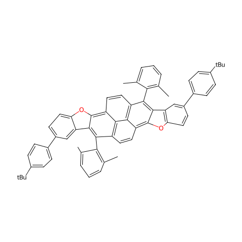 Cc1cccc(C)c1-c1c2ccc3c4oc5ccc(-c6ccc(C(C)(C)C)cc6)cc5c4c(-c4c(C)cccc4C)c4ccc(c5oc6ccc(-c7ccc(C(C)(C)C)cc7)cc6c15)c2c43